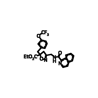 CCOC(=O)C1(Cc2cccc(OC(F)(F)F)c2)CC(CNC(=O)c2nccc3ccccc23)=NO1